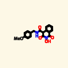 COc1ccc(CNC(=O)C2C(=O)N(O)C(=O)c3ccccc32)cc1